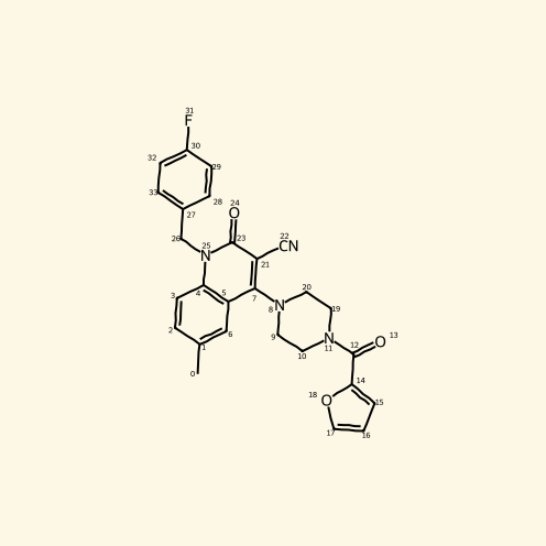 Cc1ccc2c(c1)c(N1CCN(C(=O)c3ccco3)CC1)c(C#N)c(=O)n2Cc1ccc(F)cc1